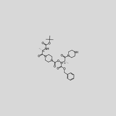 C[C@H](NC(=O)OC(C)(C)C)C(=O)N1CCN(C(=O)ON(C(=O)OCc2ccccc2)[C@@H](C)C(=O)N2CCNCC2)CC1